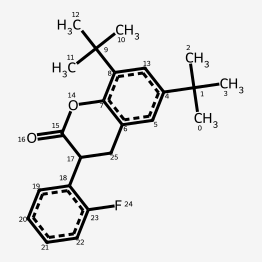 CC(C)(C)c1cc2c(c(C(C)(C)C)c1)OC(=O)C(c1ccccc1F)C2